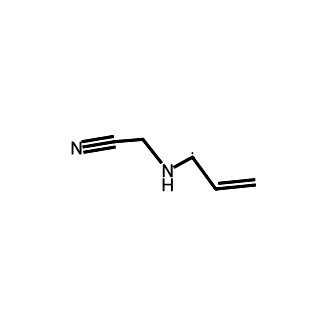 C=C[CH]NCC#N